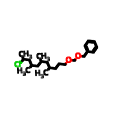 CC(Cl)CC(C)CC(C)CC(C)CCCOCOCc1ccccc1